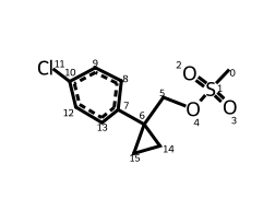 CS(=O)(=O)OCC1(c2ccc(Cl)cc2)CC1